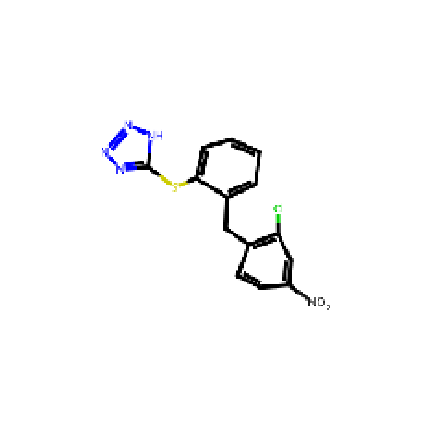 O=[N+]([O-])c1ccc(Cc2ccccc2Sc2nnn[nH]2)c(Cl)c1